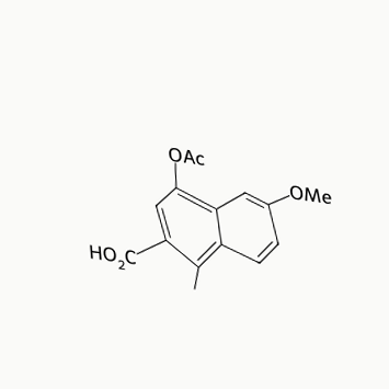 COc1ccc2c(C)c(C(=O)O)cc(OC(C)=O)c2c1